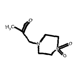 CC(=O)CN1CCS(=O)(=O)CC1